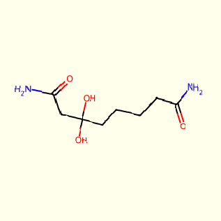 NC(=O)CCCCC(O)(O)CC(N)=O